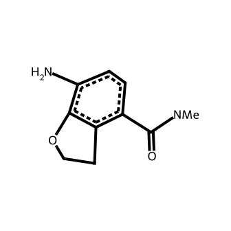 CNC(=O)c1ccc(N)c2c1CCO2